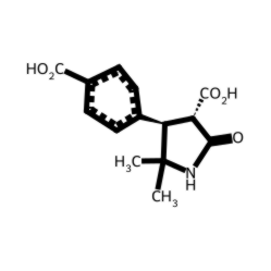 CC1(C)NC(=O)[C@@H](C(=O)O)[C@@H]1c1ccc(C(=O)O)cc1